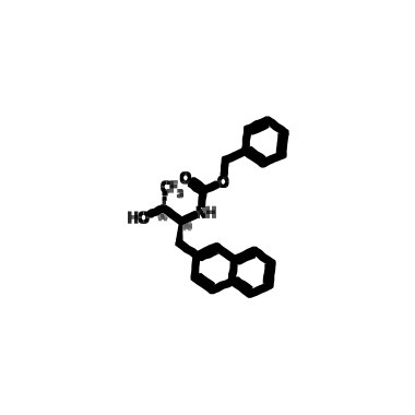 O=C(N[C@@H](Cc1ccc2ccccc2c1)[C@H](O)C(F)(F)F)OCc1ccccc1